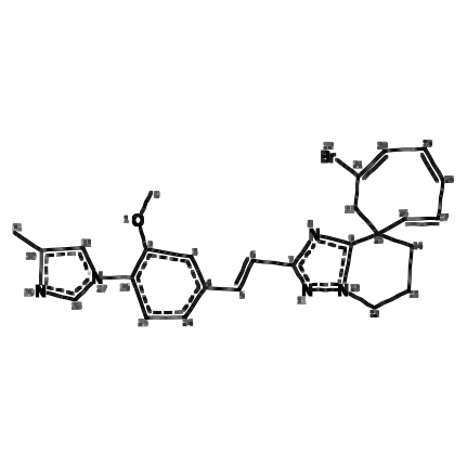 COc1cc(/C=C/c2nc3n(n2)CCCC32/C=C/C=C\C=C(\Br)C2)ccc1-n1cnc(C)c1